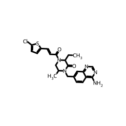 CCC1C(=O)N(Cc2ccc3c(N)ncnc3c2)C(C)CN1C(=O)C=Cc1ccc(Cl)s1